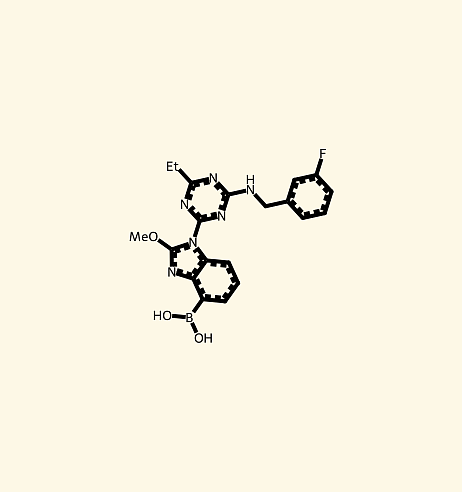 CCc1nc(NCc2cccc(F)c2)nc(-n2c(OC)nc3c(B(O)O)cccc32)n1